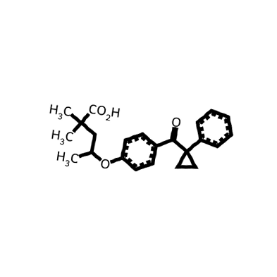 CC(CC(C)(C)C(=O)O)Oc1ccc(C(=O)C2(c3ccccc3)CC2)cc1